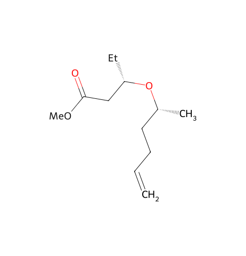 C=CCC[C@@H](C)O[C@@H](CC)CC(=O)OC